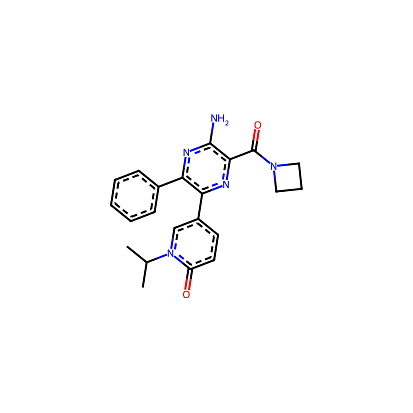 CC(C)n1cc(-c2nc(C(=O)N3CCC3)c(N)nc2-c2ccccc2)ccc1=O